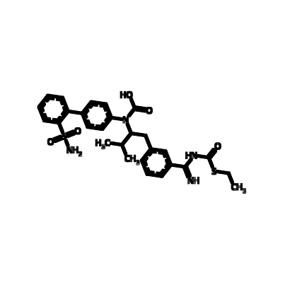 CCSC(=O)NC(=N)c1cccc(CC(C(C)C)N(C(=O)O)c2ccc(-c3ccccc3S(N)(=O)=O)cc2)c1